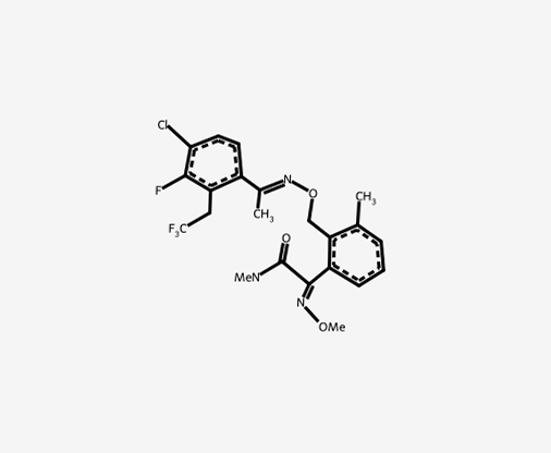 CNC(=O)/C(=N/OC)c1cccc(C)c1CO/N=C(\C)c1ccc(Cl)c(F)c1CC(F)(F)F